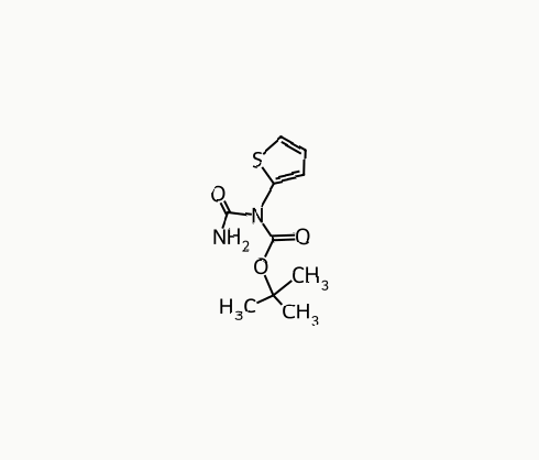 CC(C)(C)OC(=O)N(C(N)=O)c1cccs1